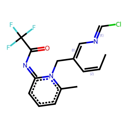 C\C=C/C(=C\N=C\Cl)Cn1c(C)cccc1=NC(=O)C(F)(F)F